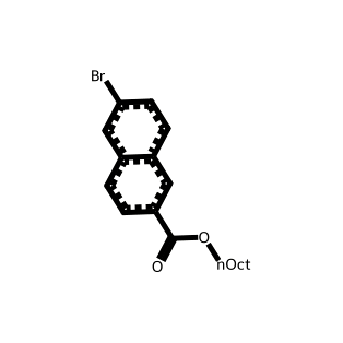 CCCCCCCCOC(=O)c1ccc2cc(Br)ccc2c1